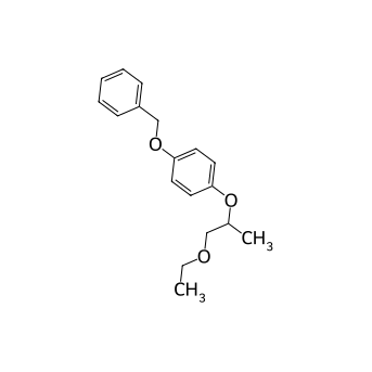 CCOCC(C)Oc1ccc(OCc2ccccc2)cc1